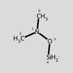 CN(C)O[SiH2]